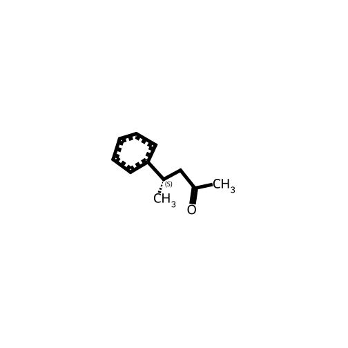 CC(=O)C[C@H](C)c1ccccc1